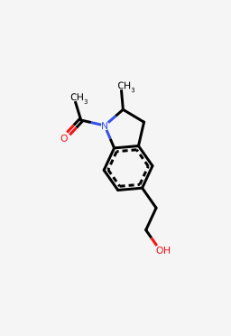 CC(=O)N1c2ccc(CCO)cc2CC1C